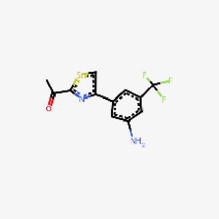 CC(=O)c1nc(-c2cc(N)cc(C(F)(F)F)c2)cs1